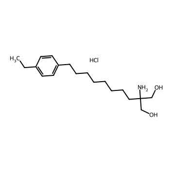 CCc1ccc(CCCCCCCCC(N)(CO)CO)cc1.Cl